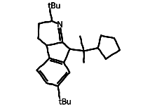 CC(C)(C)c1ccc2c(c1)C(C(C)(C)C1CCCC1)C1=NC(C(C)(C)C)CCC12